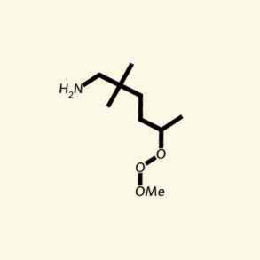 COOOC(C)CCC(C)(C)CN